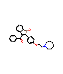 O=C(c1ccccc1)c1c(-c2ccc(OCCN3CCCCCC3)cc2)[s+]([O-])c2ccccc12